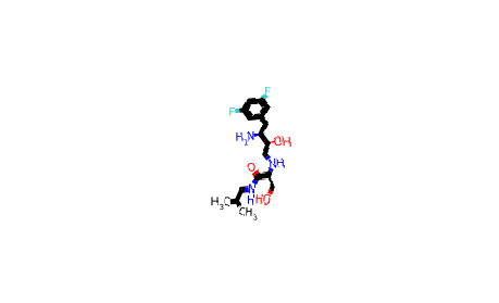 CC(C)CNC(=O)[C@H](CO)NC[C@@H](O)[C@@H](N)Cc1cc(F)cc(F)c1